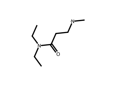 CCN(CC)C(=O)CC[N]C